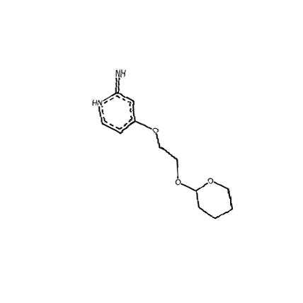 N=c1cc(OCCOC2CCCCO2)cc[nH]1